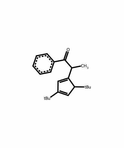 CC(C(=O)c1ccccc1)C1=CC(C(C)(C)C)=CC1C(C)(C)C